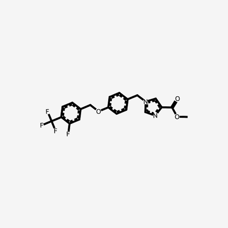 COC(=O)c1cn(Cc2ccc(OCc3ccc(C(F)(F)F)c(F)c3)cc2)cn1